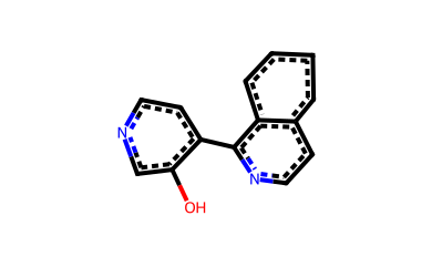 Oc1cnccc1-c1nccc2ccccc12